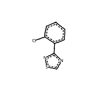 Clc1ccccc1-c1ncsn1